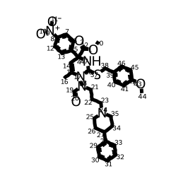 COC(=O)C1(c2ccc([N+](=O)[O-])cc2)C=C(C)N(N(C=O)CCCN2CCC(c3ccccc3)CC2)C(SCc2ccc(OC)cc2)N1